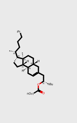 CCCCCCCCC(=O)O[C@@H](CCCC)CC1=CC[C@@H]2[C@H](CC[C@]3(C)[C@@H]([C@H](C)CCCC(C)C)CC[C@@H]23)C1